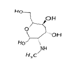 CN[C@@H]1C(O)OC(CO)[C@@H](O)[C@@H]1O